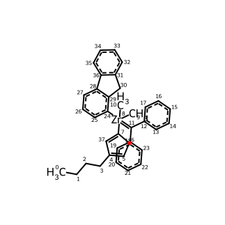 CCCCC1=CC[C]([Zr]([CH3])([CH3])(=[C](c2ccccc2)c2ccccc2)[c]2cccc3c2Cc2ccccc2-3)=C1